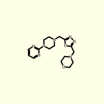 c1cnc(N2CCN(Cc3nnc(CN4CCOCC4)o3)CC2)nc1